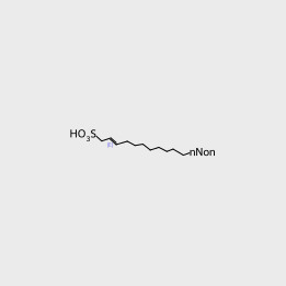 CCCCCCCCCCCCCCCCC/C=C/CS(=O)(=O)O